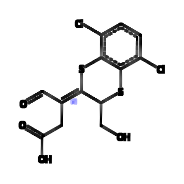 O=C/C(CC(=O)O)=C1\Sc2c(Cl)ccc(Cl)c2SC1CO